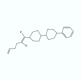 C=CCC/C(F)=C(\F)C1CCC(C2CCC(c3ccccc3)CC2)CC1